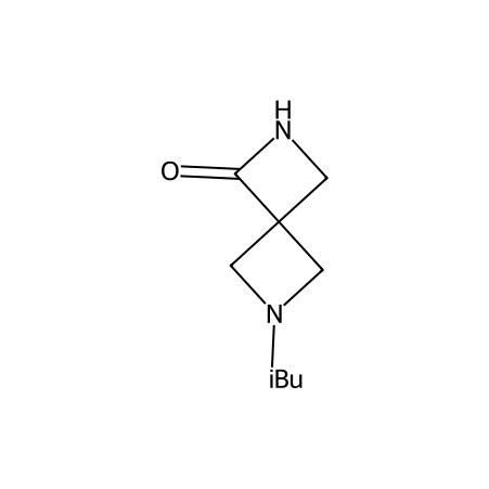 CCC(C)N1CC2(CNC2=O)C1